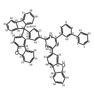 c1ccc(-c2cccc(-c3nc(-c4ccc(C5(c6ccc7oc8ccccc8c7c6)c6ccccc6-c6ccccc65)cc4)nc(-c4ccc5c(c4)oc4ccccc45)n3)c2)cc1